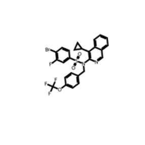 O=S(=O)(c1ccc(Br)c(F)c1)N(Cc1ccc(OC(F)(F)F)cc1)c1ncc2ccccc2c1C1CC1